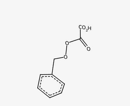 O=C(O)C(=O)OOCc1ccccc1